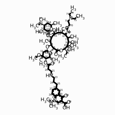 CC[C@H]1OC(=O)[C@H](C)[C@@H](O[C@H]2C[C@@](C)(OC)[C@@H](OC(=O)CCNCCCc3ccc4c(c3)c(=O)c(C(=O)O)cn4N(C)C)[C@H](C)O2)[C@H](C)[C@@H](O[C@@H]2O[C@H](C)C[C@H](N(C)C)[C@H]2O)[C@](C)(O)C[C@@H](C)/C(=N\OCCN(CC)CC)C(C)[C@@H](O)[C@]1(C)O